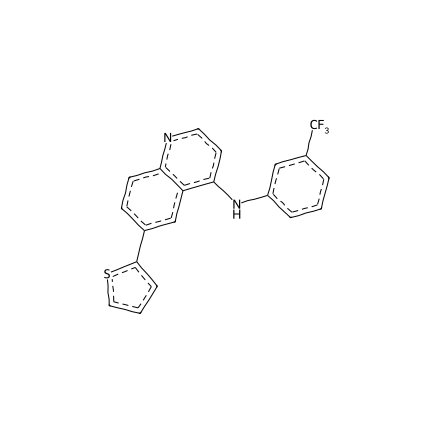 FC(F)(F)c1cccc(Nc2ccnc3ccc(-c4cccs4)cc23)c1